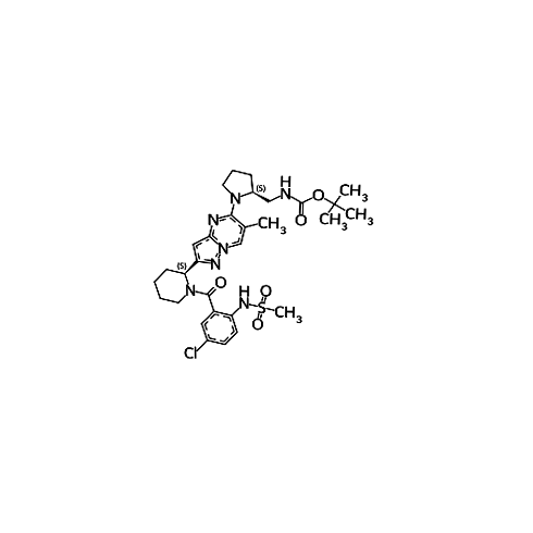 Cc1cn2nc([C@@H]3CCCCN3C(=O)c3cc(Cl)ccc3NS(C)(=O)=O)cc2nc1N1CCC[C@H]1CNC(=O)OC(C)(C)C